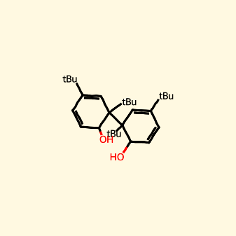 CC(C)(C)C1=CC(C(C)(C)C)(C2(C(C)(C)C)C=C(C(C)(C)C)C=CC2O)C(O)C=C1